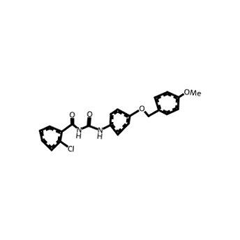 COc1ccc(COc2ccc(NC(=O)NC(=O)c3ccccc3Cl)cc2)cc1